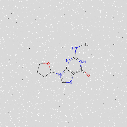 CCCCNc1nc2c(ncn2C2CCCO2)c(=O)[nH]1